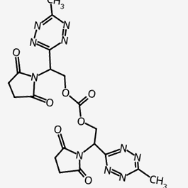 Cc1nnc(C(COC(=O)OCC(c2nnc(C)nn2)N2C(=O)CCC2=O)N2C(=O)CCC2=O)nn1